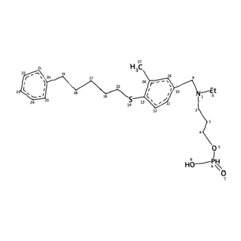 CCN(CCCO[PH](=O)O)Cc1ccc(SCCCCCc2ccccc2)c(C)c1